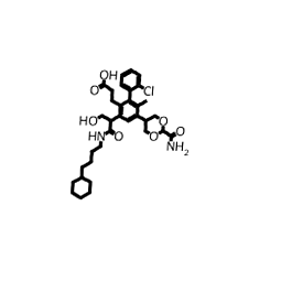 Cc1c(C2COC(C(N)=O)OC2)cc(C(CO)C(=O)NCCCCC2CCCCC2)c(CCC(=O)O)c1-c1ccccc1Cl